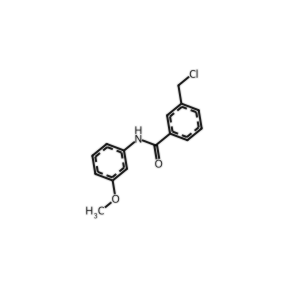 COc1cccc(NC(=O)c2cccc(CCl)c2)c1